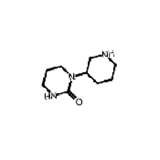 O=C1NCCCN1C1CCCNC1